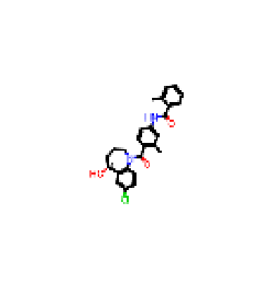 Cc1ccccc1C(=O)Nc1ccc(C(=O)N2CCC[C@H](O)c3cc(Cl)ccc32)c(C)c1